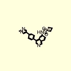 Cn1cc(-c2ccc(-c3cncc4ccc(NS(=O)(=O)N5CCC5)cc34)cc2)cn1